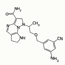 CC(COCc1cc(N)cc(C#N)c1)N1CC(C(N)=O)=C2N=CC3=C(NCC3)N21